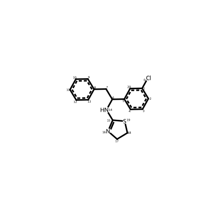 Clc1cccc(C(Cc2ccccc2)NC2=NCCS2)c1